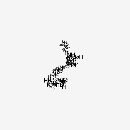 Cc1cnc(Nc2ccc(N3CCN(CC(=O)NCCCC(=O)NC(C(=O)N4C[C@H](O)C[C@H]4C(=O)NCc4ccc(-c5scnc5C)cc4)C(C)(C)C)CC3)cc2)nc1Nc1cccc(S(=O)(=O)NC(C)(C)C)c1